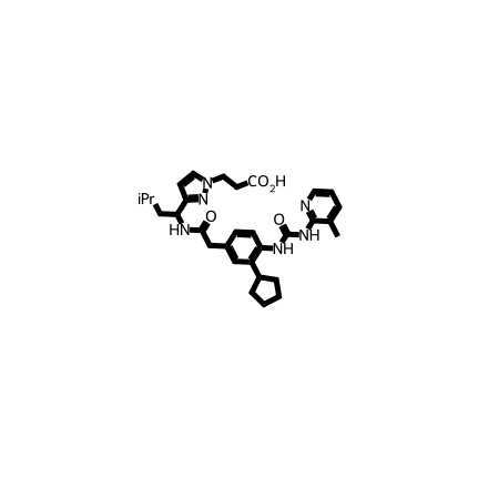 Cc1cccnc1NC(=O)Nc1ccc(CC(=O)NC(CC(C)C)c2ccn(CCC(=O)O)n2)cc1C1CCCC1